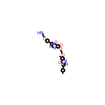 CNCCCOc1ccc(C2=CN3C(=O)c4cc(OC)c(OCCCOc5cc6c(cc5C)C(=O)N5C=C(c7ccc(C)cc7)C[C@H]5C=N6)cc4N=C[C@@H]3C2)cc1